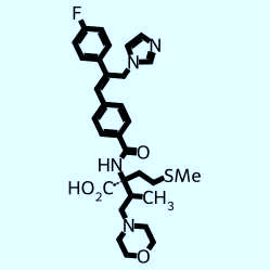 CSCC[C@@](NC(=O)c1ccc(C=C(Cn2ccnc2)c2ccc(F)cc2)cc1)(C(=O)O)C(C)CN1CCOCC1